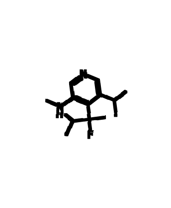 CNc1cncc(C(C)C)c1C(C)(F)C(C)C